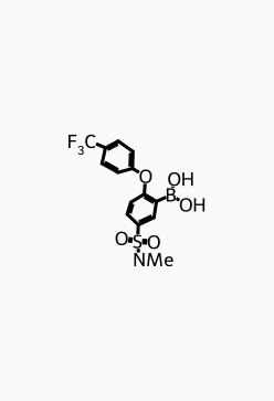 CNS(=O)(=O)c1ccc(Oc2ccc(C(F)(F)F)cc2)c(B(O)O)c1